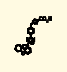 O=C(O)C1CN(Cc2ccc(-c3noc(CCC4(c5ccccn5)CCCCC4=O)n3)cc2)C1